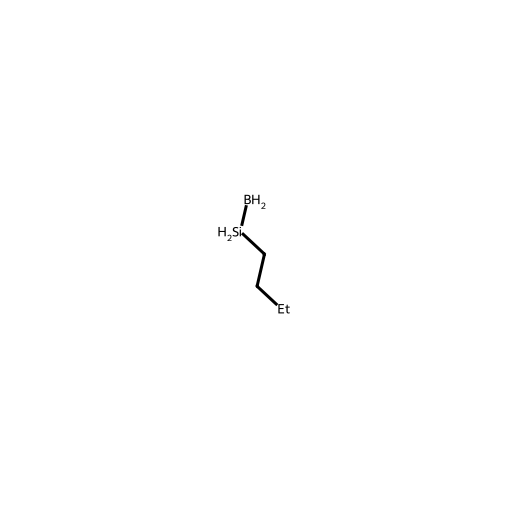 B[SiH2]CCCC